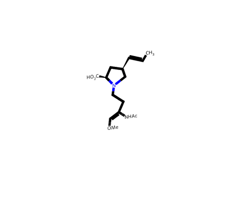 CC=C[C@@H]1C[C@H](C(=O)O)N(CCC(=COC)NC(C)=O)C1